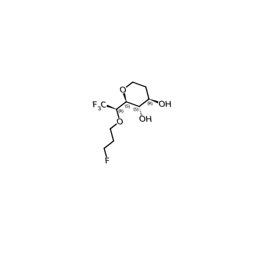 O[C@@H]1[C@@H]([C@@H](OCCCF)C(F)(F)F)OCC[C@H]1O